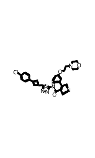 O=C(Nc1nnc(C23CC(c4ccc(Cl)cc4)(C2)C3)s1)c1ccncc1-c1cc(OCCN2CCOCC2)ccc1F